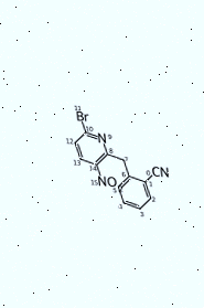 N#Cc1ccccc1Cc1nc(Br)ccc1[N+](=O)[O-]